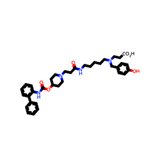 O=C(O)CCN(CCCCCNC(=O)CCN1CCC(OC(=O)Nc2ccccc2-c2ccccc2)CC1)Cc1ccc(O)cc1